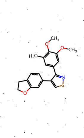 COc1cc(-c2nscc2-c2ccc3c(c2)OCC3)cc(C)c1OC